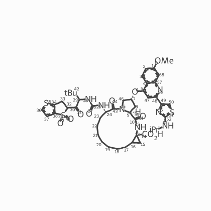 COc1ccc2c(O[C@@H]3C[C@H]4C(=O)N[C@]5(C(=O)O)CC5CCCCCCC[C@H](NC(=O)NC(C(=O)C5Cc6sccc6S5(=O)=O)C(C)(C)C)C(=O)N4C3)cc(-c3csc(NC(C)C)n3)nc2c1